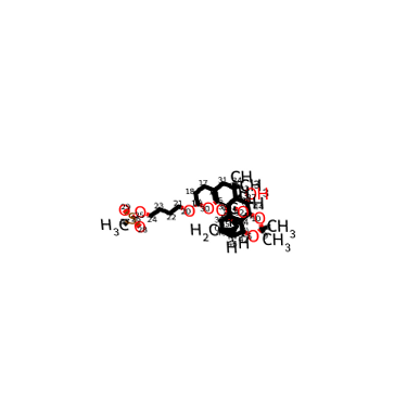 C=C1C(=O)[C@@]23[C@@H]4OC(C)(C)OC25OC[C@]2(C6=C(CC[C@H](OCCCCOS(C)(=O)=O)O6)CC(C)(C)[C@H]2[C@@H]5O)[C@@H]3CC[C@@H]14